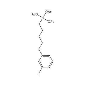 CC(=O)O[Si](CCCCCc1cccc(F)c1)(OC(C)=O)OC(C)=O